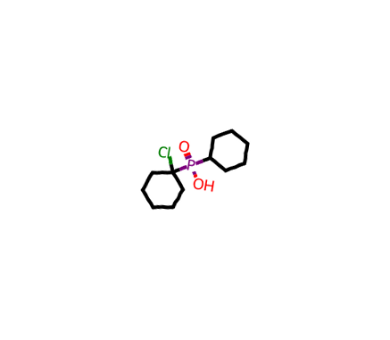 O=P(O)(C1CCCCC1)C1(Cl)CCCCC1